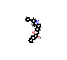 CN1c2ccc(-c3ccccc3)cc2C(C)(C)c2c1ccc1cc(C=C3C(=O)c4cc5ccccc5cc4C3=O)ccc21